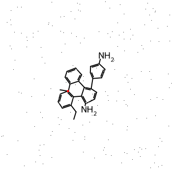 CCc1ccccc1-c1c(N)ccc(-c2ccc(N)cc2)c1-c1ccccc1CC